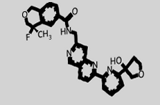 C[C@@]1(F)COCc2ccc(C(=O)NCc3cc4nc(-c5cccc(C6(O)CCOC6)n5)ccc4cn3)cc21